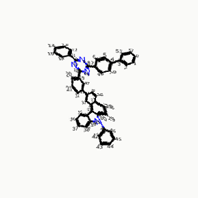 c1ccc(-c2ccc(-c3nc(-c4ccccc4)nc(-c4cccc(-c5ccc6ccc7c(c6c5)c5ccccc5n7-c5ccccc5)c4)n3)cc2)cc1